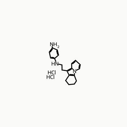 Cl.Cl.Nc1ccc(NCCc2c3c(n4ccccc24)CCCC3)cc1